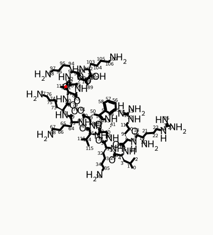 CC(C)C[C@H](NC(=O)[C@H](CCCNC(=N)N)NC(=O)[C@@H](N)CCCNC(=N)N)C(=O)N[C@@H](CCCCN)C(=O)N[C@@H](C)C(=O)N[C@H](C(=O)N[C@@H](Cc1c[nH]c2ccccc12)C(=O)N[C@@H](CCCCN)C(=O)N[C@@H](CCCCN)C(=O)N[C@H](C(=O)N[C@@H](CC(C)C)C(=O)N[C@@H](CCCCN)C(=O)N[C@@H](CCCCN)C(=O)O)C(C)C)C(C)C